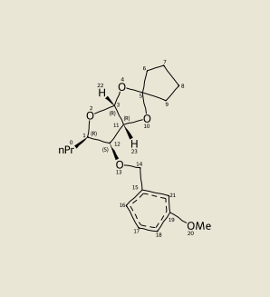 CCC[C@H]1O[C@@H]2OC3(CCCC3)O[C@@H]2[C@H]1OCc1cccc(OC)c1